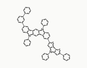 c1ccc(-c2cccc(-c3ccc4c(c3)c3cc5c(cc3n4-c3ccccc3)c3cc(-c4cc6c(s4)c4sc(-c7ccccc7)cc4n6-c4ccccc4)ccc3n5-c3ccccc3)c2)cc1